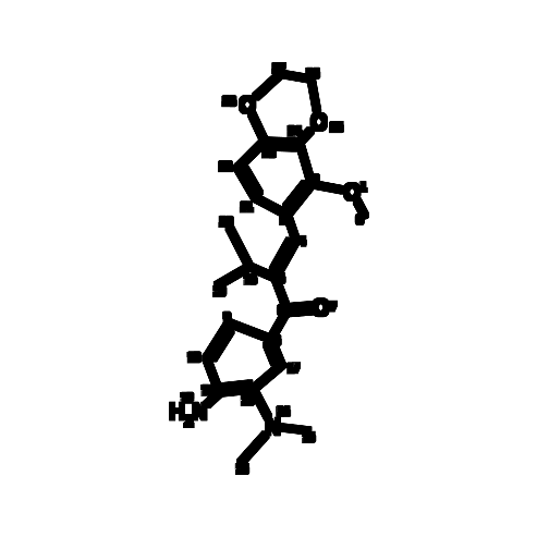 COc1c(/C=C(/C(=O)c2ccc(N)c(N(C)C)c2)C(C)C)ccc2c1OCCO2